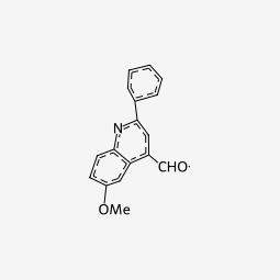 COc1ccc2nc(-c3ccccc3)cc([C]=O)c2c1